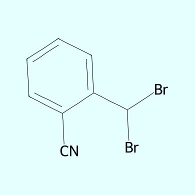 N#Cc1ccccc1C(Br)Br